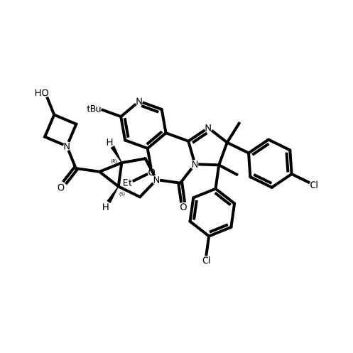 CCOc1cc(C(C)(C)C)ncc1C1=NC(C)(c2ccc(Cl)cc2)C(C)(c2ccc(Cl)cc2)N1C(=O)N1C[C@@H]2C(C(=O)N3CC(O)C3)[C@@H]2C1